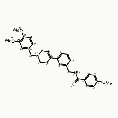 COc1ccc(C(=O)NCc2cccc(C3=CCN(Cc4ccc(OC)c(OC)c4)CC3)c2)cc1